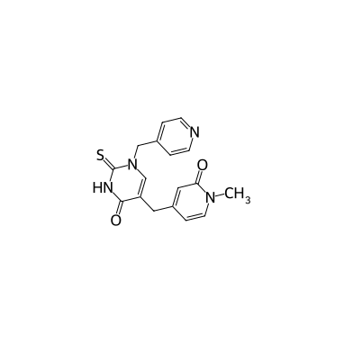 Cn1ccc(Cc2cn(Cc3ccncc3)c(=S)[nH]c2=O)cc1=O